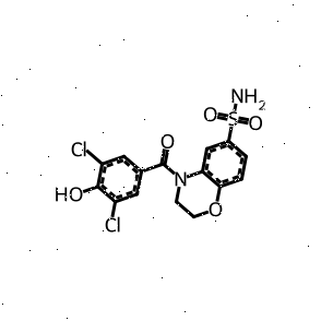 NS(=O)(=O)c1ccc2c(c1)N(C(=O)c1cc(Cl)c(O)c(Cl)c1)CCO2